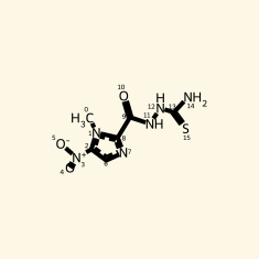 Cn1c([N+](=O)[O-])cnc1C(=O)NNC(N)=S